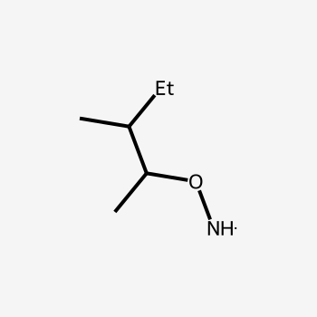 CCC(C)C(C)O[NH]